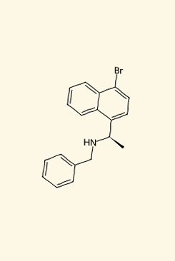 C[C@@H](NCc1ccccc1)c1ccc(Br)c2ccccc12